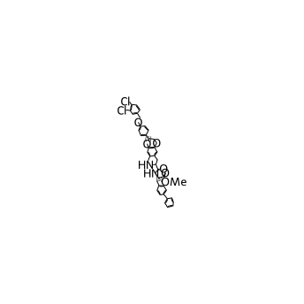 COC(=O)[C@H](Cc1ccc(-c2ccccc2)cc1)NC(=O)C1Cc2cc3c(cc2CN1)O[C@@H](c1ccc(OCc2ccc(Cl)c(Cl)c2)cc1)CO3